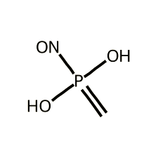 C=P(O)(O)N=O